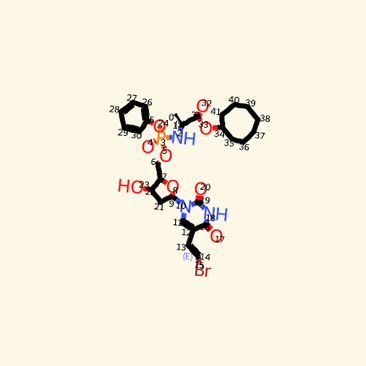 C[C@H](NP(=O)(OCC1OC(n2cc(/C=C/Br)c(=O)[nH]c2=O)CC1O)Oc1ccccc1)C(=O)OC1CCCCCCC1